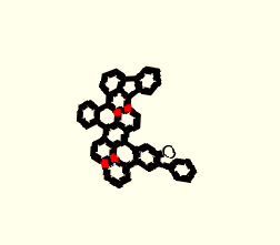 c1ccc(-c2cc3c(cc2-c2c4ccccc4c(-c4ccccc4-c4ccc5c6c(cccc46)-c4ccccc4-5)c4ccccc24)oc2ccccc23)cc1